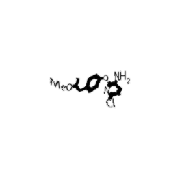 COC(C)Cc1ccc(Oc2nc(Cl)ccc2N)cc1